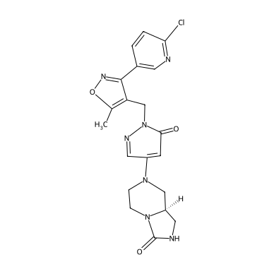 Cc1onc(-c2ccc(Cl)nc2)c1Cn1ncc(N2CCN3C(=O)NC[C@@H]3C2)cc1=O